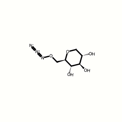 [N-]=[N+]=NOC[C@H]1O[CH][C@H](O)[C@@H](O)[C@@H]1O